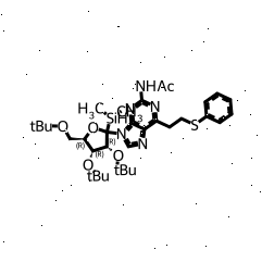 CC(=O)Nc1nc(CCSc2ccccc2)c2ncn(C3([SiH](C)C)O[C@H](COC(C)(C)C)[C@@H](OC(C)(C)C)[C@H]3OC(C)(C)C)c2n1